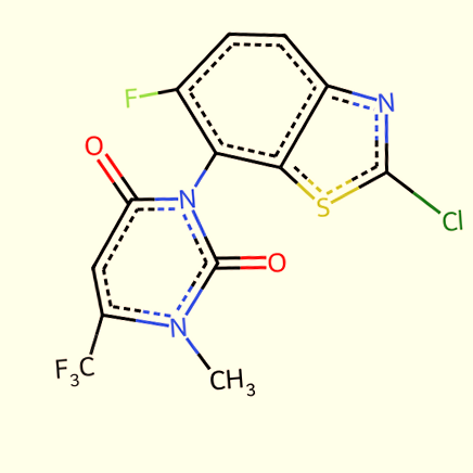 Cn1c(C(F)(F)F)cc(=O)n(-c2c(F)ccc3nc(Cl)sc23)c1=O